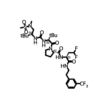 CN(C[C@@H](NC(=O)N[C@H](C(=O)N1CCC[C@H]1C(=O)N[C@@H](CC(F)F)C(=O)NCCc1cccc(C(F)(F)F)c1)C(C)(C)C)C(C)(C)C)S(C)(=O)=O